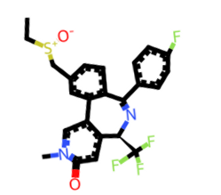 CC[S+]([O-])Cc1ccc2c(c1)-c1cn(C)c(=O)cc1[C@H](C(F)(F)F)N=C2c1ccc(F)cc1